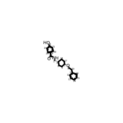 O=C(NC[C@H]1CC[C@@H](OCCc2ccccc2)CC1)c1ccc(O)cc1